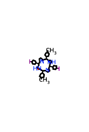 Cc1ccc(-c2c3nc(c(-c4ccc(I)cc4)c4ccc([nH]4)c(-c4ccc(C)cc4)c4nc(c(-c5ccc(I)cc5)c5ccc2[nH]5)C=C4)C=C3)cc1